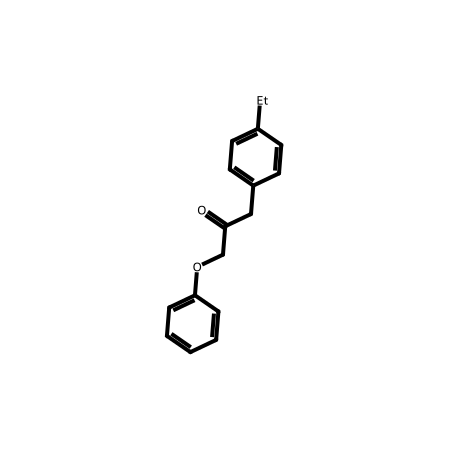 CCc1ccc(CC(=O)COc2ccccc2)cc1